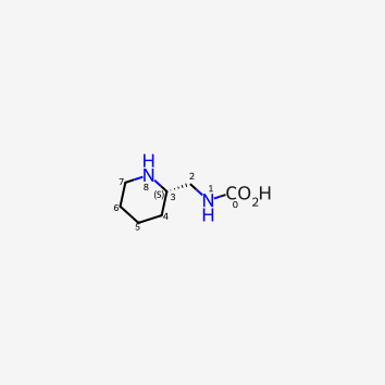 O=C(O)NC[C@@H]1CCCCN1